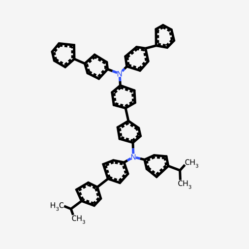 CC(C)c1ccc(-c2ccc(N(c3ccc(-c4ccc(N(c5ccc(-c6ccccc6)cc5)c5ccc(-c6ccccc6)cc5)cc4)cc3)c3ccc(C(C)C)cc3)cc2)cc1